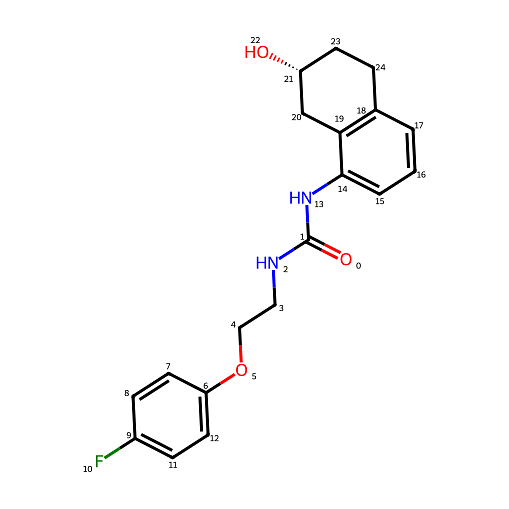 O=C(NCCOc1ccc(F)cc1)Nc1cccc2c1C[C@H](O)CC2